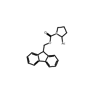 CC(=O)C1CCCN1C(=O)OCC1c2ccccc2-c2ccccc21